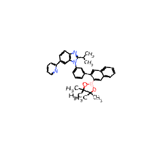 CC(C)c1nc2ccc(-c3ccccn3)cc2n1-c1cccc(-c2cc3ccccc3cc2B2OC(C)(C)C(C)(C)O2)c1